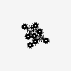 c1ccc(-c2ccc(-c3nc(-c4ccccc4)nc(-c4cccc(Sc5ccccc5-c5nc(-c6ccccc6)nc(-n6c7ccccc7c7ccccc76)n5)c4)n3)cc2)cc1